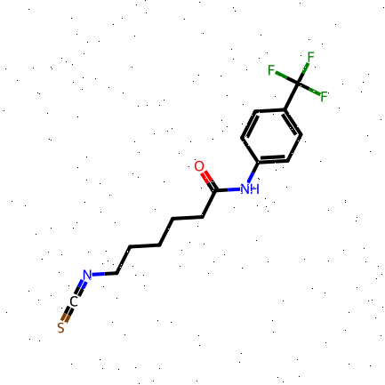 O=C(CCCCCN=C=S)Nc1ccc(C(F)(F)F)cc1